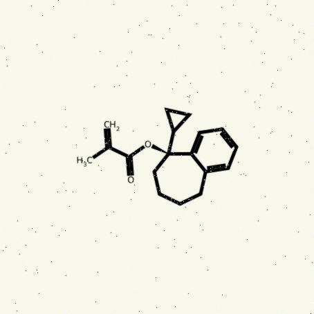 C=C(C)C(=O)O[C@]1(C2CC2)CCCCc2ccccc21